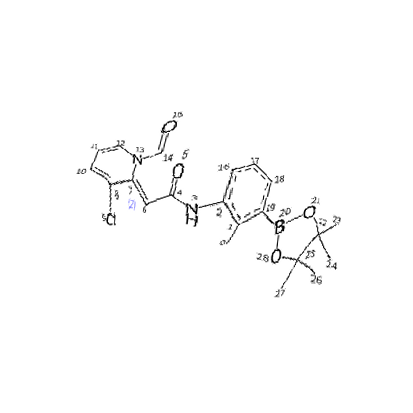 Cc1c(NC(=O)/C=C2/C(Cl)=CC=CN2C=O)cccc1B1OC(C)(C)C(C)(C)O1